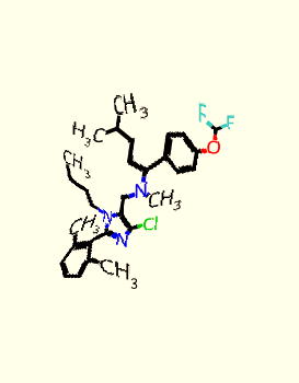 CCCCn1c(-c2c(C)cccc2C)nc(Cl)c1CN(C)C(CCC(C)C)c1ccc(OC(F)F)cc1